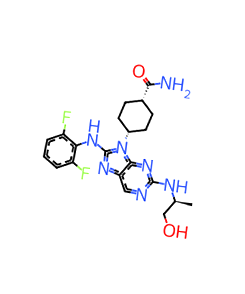 C[C@@H](CO)Nc1ncc2nc(Nc3c(F)cccc3F)n([C@H]3CC[C@@H](C(N)=O)CC3)c2n1